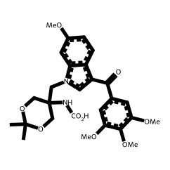 COc1ccc2c(C(=O)c3cc(OC)c(OC)c(OC)c3)cn(CC3(NC(=O)O)COC(C)(C)OC3)c2c1